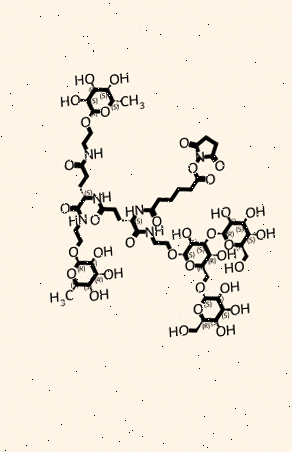 C[C@@H]1O[C@@H](OCCNC(=O)CC[C@H](NC(=O)CC[C@H](NC(=O)CCCCC(=O)ON2C(=O)CCC2=O)C(=O)NCCO[C@H]2O[C@H](CO[C@H]3O[C@H](CO)[C@@H](O)[C@H](O)[C@@H]3O)[C@@H](O)[C@H](O[C@H]3O[C@H](CO)[C@@H](O)[C@H](O)[C@@H]3O)[C@@H]2O)C(=O)NCCO[C@@H]2O[C@@H](C)[C@@H](O)[C@@H](O)[C@@H]2O)[C@@H](O)[C@H](O)[C@@H]1O